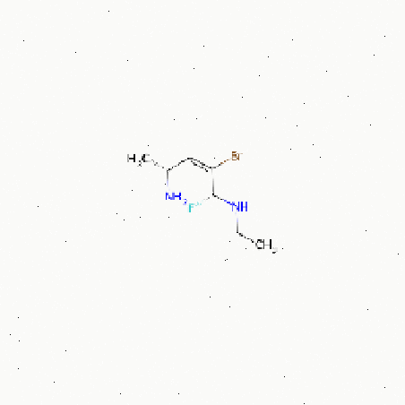 CCN[C@H](F)/C(Br)=C\[C@@H](C)N